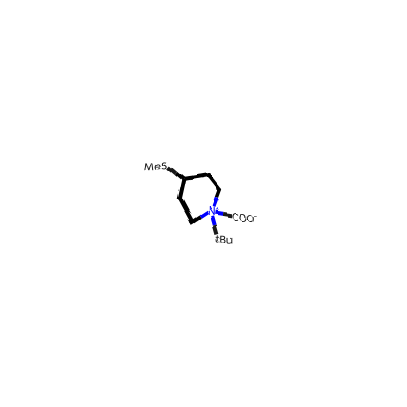 CSC1CC[N+](C(=O)[O-])(C(C)(C)C)CC1